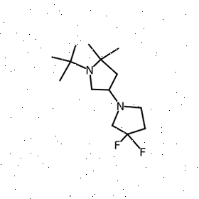 CC(C)(C)N1CC(N2CCC(F)(F)C2)CC1(C)C